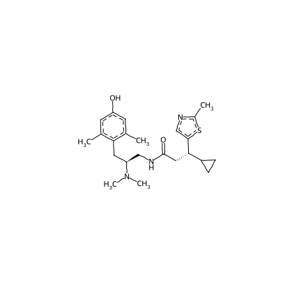 Cc1ncc([C@@H](CC(=O)NC[C@H](Cc2c(C)cc(O)cc2C)N(C)C)C2CC2)s1